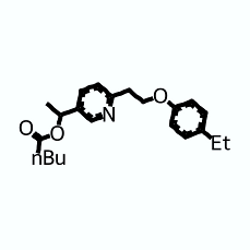 CCCCC(=O)OC(C)c1ccc(CCOc2ccc(CC)cc2)nc1